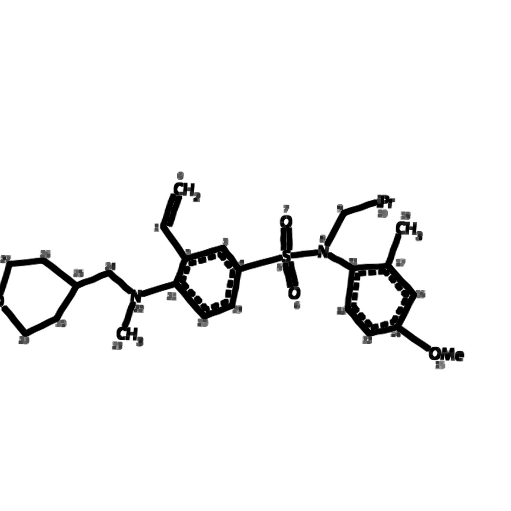 C=Cc1cc(S(=O)(=O)N(CC(C)C)c2ccc(OC)cc2C)ccc1N(C)CC1CCOCC1